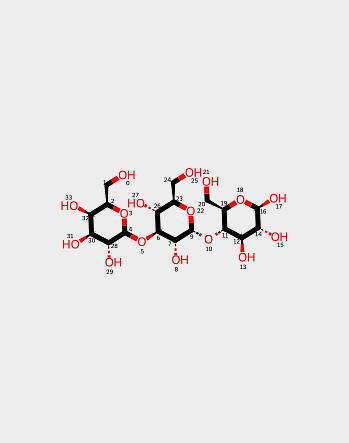 OC[C@H]1OC(O[C@@H]2[C@@H](O)[C@@H](O[C@H]3[C@H](O)[C@@H](O)[C@H](O)O[C@@H]3CO)O[C@H](CO)[C@H]2O)[C@H](O)[C@@H](O)[C@H]1O